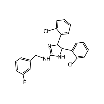 Fc1cccc(CNC2=NC(c3ccccc3Cl)C(c3ccccc3Cl)N2)c1